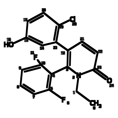 CCn1c(-c2c(F)cccc2F)c(-c2cc(O)ccc2Cl)ccc1=O